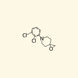 Clc1cccc(N2CCC3(CC2)CO3)c1Cl